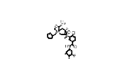 CC1OCN(Cc2ccccc2)[C@]12CC1CC[C@H](C2)C1S(=O)(=O)c1cc(C(=O)Nc2cc(F)c(F)c(F)c2)ccc1Cl